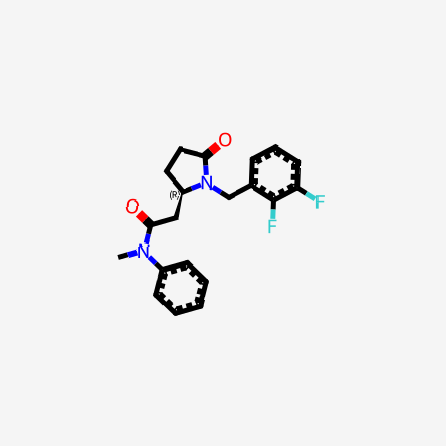 CN(C(=O)C[C@H]1CCC(=O)N1Cc1cccc(F)c1F)c1ccccc1